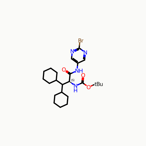 CC(C)(C)OC(=O)N[C@H](C(=O)Nc1cnc(Br)nc1)C(C1CCCCC1)C1CCCCC1